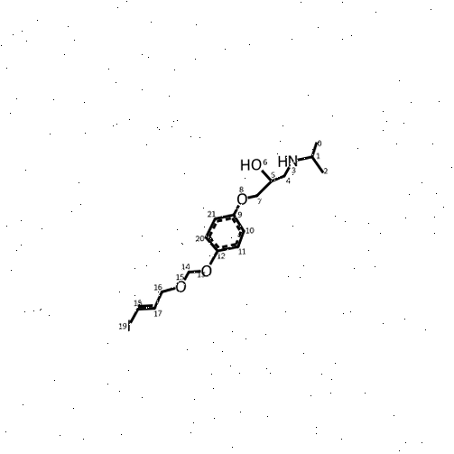 CC(C)NCC(O)COc1ccc(OCOCC=CI)cc1